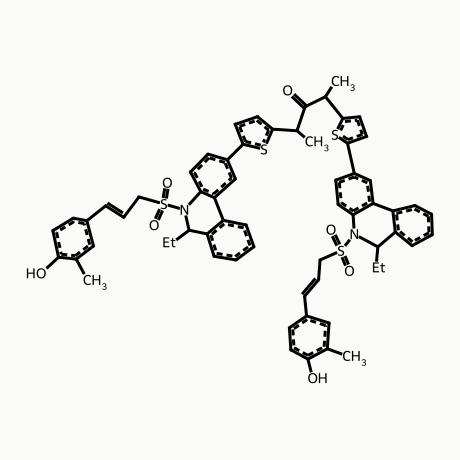 CCC1c2ccccc2-c2cc(-c3ccc(C(C)C(=O)C(C)c4ccc(-c5ccc6c(c5)-c5ccccc5C(CC)N6S(=O)(=O)CC=Cc5ccc(O)c(C)c5)s4)s3)ccc2N1S(=O)(=O)CC=Cc1ccc(O)c(C)c1